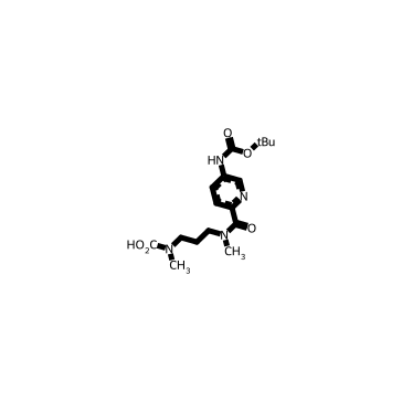 CN(CCCN(C)C(=O)c1ccc(NC(=O)OC(C)(C)C)cn1)C(=O)O